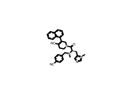 CN(Cc1ccc(C#N)cc1)[C@H](Cc1cncn1C)C(=O)N1CCC(C#N)=C(c2cccc3ccccc23)C1